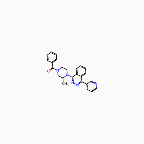 CC1CN(C(=O)c2ccccc2)CCN1c1nnc(-c2cccnc2)c2ccccc12